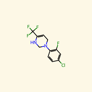 Fc1cc(Cl)ccc1N1CC=C(C(F)(F)F)NC1